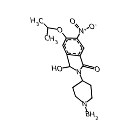 BN1CCC(N2C(=O)c3cc([N+](=O)[O-])c(OC(C)C)cc3C2O)CC1